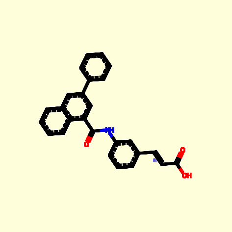 O=C(O)/C=C/c1cccc(NC(=O)c2cc(-c3ccccc3)cc3ccccc23)c1